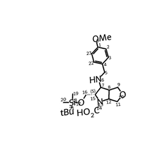 COc1ccc(CNC2C3COCC3N(C(=O)O)[C@@H]2CO[Si](C)(C)C(C)(C)C)cc1